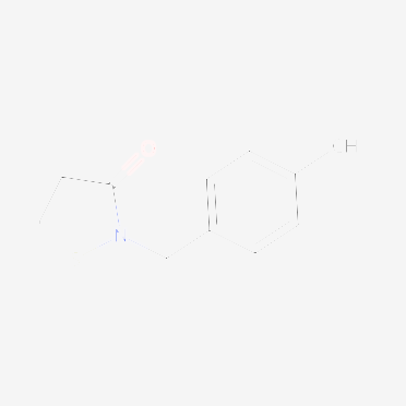 Cc1ccc(CN2SCCC2=O)cc1